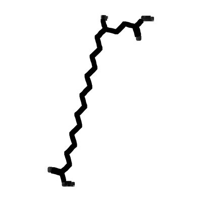 COC(=O)CCCCCCCCCCCCCCC(CCC(=O)OC)C(C)C